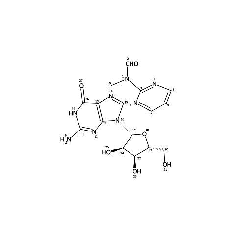 CN(C=O)c1ncccn1.Nc1nc2c(ncn2[C@@H]2O[C@H](CO)[C@@H](O)[C@H]2O)c(=O)[nH]1